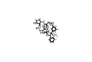 CC(C)C[C@H](NC(=O)OC(c1ccccc1)C(C)(C)c1cccc(Cl)c1)C(=O)N[C@@H](C[C@@H]1CCNC1=O)C(=O)CO